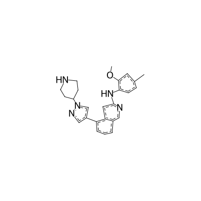 COc1cc(C)ccc1Nc1cc2c(-c3cnn(C4CCNCC4)c3)cccc2cn1